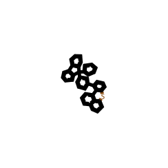 c1ccc(C2(c3cccc(-c4cccc5c4-c4cccc6cccc(c46)S5)c3)c3ccccc3-c3ccccc32)cc1